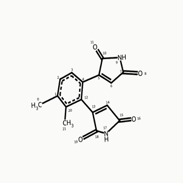 Cc1ccc(C2=CC(=O)NC2=O)c(C2=CC(=O)NC2=O)c1C